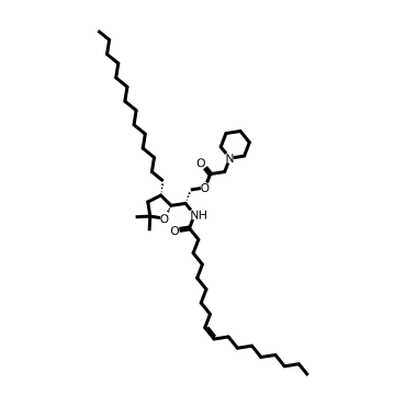 CCCCCCCC/C=C\CCCCCCCC(=O)N[C@@H](COC(=O)CN1CCCCC1)[C@@H]1OC(C)(C)C[C@@H]1CCCCCCCCCCCCCC